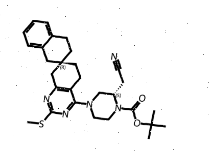 CSc1nc2c(c(N3CCN(C(=O)OC(C)(C)C)[C@@H](CC#N)C3)n1)CC[C@@]1(CCc3ccccc3C1)C2